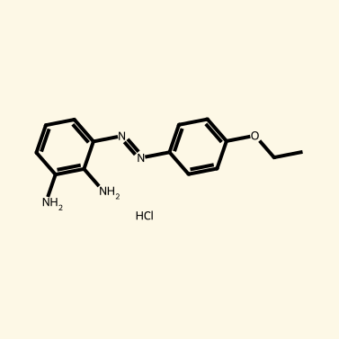 CCOc1ccc(N=Nc2cccc(N)c2N)cc1.Cl